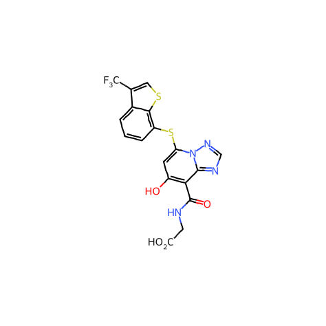 O=C(O)CNC(=O)c1c(O)cc(Sc2cccc3c(C(F)(F)F)csc23)n2ncnc12